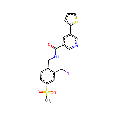 CS(=O)(=O)c1ccc(CNC(=O)c2cncc(-c3cccs3)c2)c(CI)c1